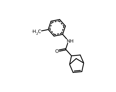 [CH2]c1cccc(NC(=O)C2CC3C=CC2C3)c1